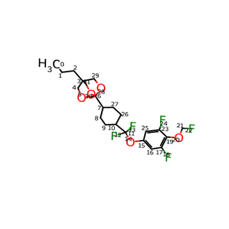 CCCC12COC(C3CCC(C(F)(F)Oc4cc(F)c(OCF)c(F)c4)CC3)(OC1)OC2